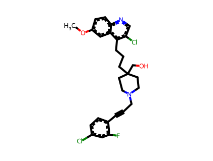 COc1ccc2ncc(Cl)c(CCCC3(CO)CCN(CC#Cc4ccc(Cl)cc4F)CC3)c2c1